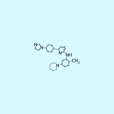 Cc1ccc(N2CCCCC2)cc1Nc1nc(-c2ccc(-n3ccnc3)cc2)cs1